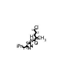 CC(C)Cc1nnc(NC(=O)C(C)CCCCl)s1